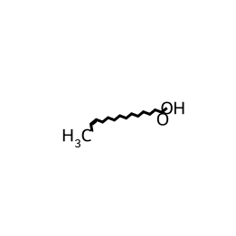 CC/C=C\CCCCCCCCCCC(=O)O